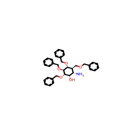 N[C@@H]1[C@H](O)[C@H](OCc2ccccc2)[C@@H](OCc2ccccc2)[C@H](OCc2ccccc2)[C@H]1COCc1ccccc1